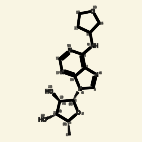 C[C@H]1O[C@@H](n2cnc3c(NC4CCOC4)ncnc32)[C@H](O)[C@H]1O